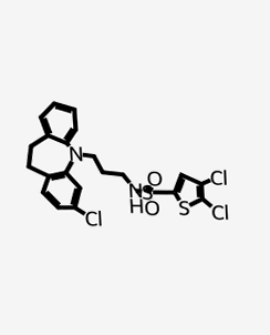 O=S(=O)(NCCCN1c2ccccc2CCc2ccc(Cl)cc21)c1cc(Cl)c(Cl)s1